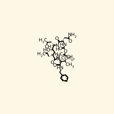 C=CC[C@H](C[C@H](O)[C@H](CC(C)C)NC(=O)[C@H](CC(N)=O)NC(=O)OC(C)(C)C)C(=O)N[C@H](C(=O)NCc1ccccc1)C(C)C